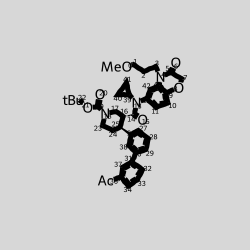 COCCCN1C(=O)COc2ccc(N(C(=O)[C@H]3CN(C(=O)OC(C)(C)C)CC[C@@H]3c3cccc(-c4cccc(C(C)=O)c4)c3)C3CC3)cc21